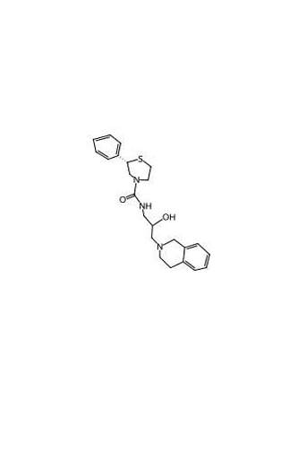 O=C(NCC(O)CN1CCc2ccccc2C1)N1CCS[C@@H](c2ccccc2)C1